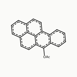 CC(=O)Oc1c2ccccc2c2ccc3cccc4ccc1c2c43